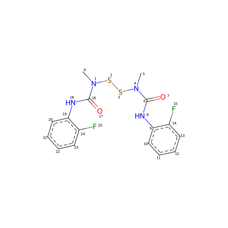 CN(SSN(C)C(=O)Nc1ccccc1F)C(=O)Nc1ccccc1F